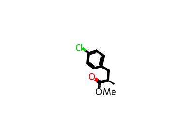 COC(=O)[C@H](C)Cc1ccc(Cl)cc1